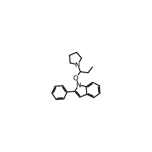 CCC(On1c(-c2ccccc2)cc2ccccc21)N1CCCC1